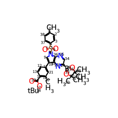 Cc1ccc(S(=O)(=O)n2cc(-c3ccc(C(=O)OC(C)(C)C)c(C)c3)c3nc(B4OC(C)(C)C(C)(C)O4)cnc32)cc1